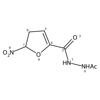 CC(=O)NNC(=O)C1=CCC([N+](=O)[O-])O1